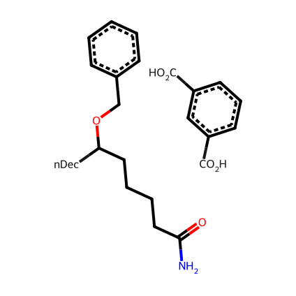 CCCCCCCCCCC(CCCCC(N)=O)OCc1ccccc1.O=C(O)c1cccc(C(=O)O)c1